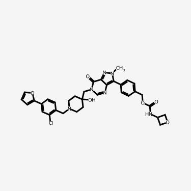 Cn1nc2c(=O)n(CC3(O)CCN(Cc4ccc(-c5ccco5)cc4Cl)CC3)cnc2c1-c1ccc(COC(=O)NC2COC2)cc1